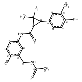 CC1(Cl)C(C(=O)Nc2ccc(Cl)c(CNC(=O)C(F)(F)F)c2)C1c1ccc(F)c(C(F)(F)F)c1